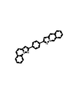 c1ccc2cn3nc(-c4ccc(-c5cc6ccc7ccccc7n6n5)cc4)cc3cc2c1